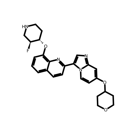 F[C@H]1CNCC[C@@H]1Oc1cccc2ccc(-c3cnc4cc(OC5CCOCC5)ccn34)nc12